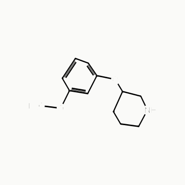 COc1cccc(OC2CCCNC2)c1